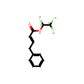 O=C(C=CCc1ccccc1)OC(F)C(F)F